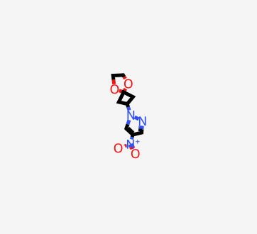 O=[N+]([O-])c1cnn(C2CC3(C2)OCCO3)c1